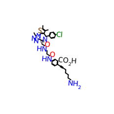 Cc1sc2c(c1C)C(c1ccc(Cl)cc1)=N[C@@H](CC(=O)NCCC(=O)Nc1ccc(C#CCCCCCN)c(C(=O)O)c1)c1nnc(C)n1-2